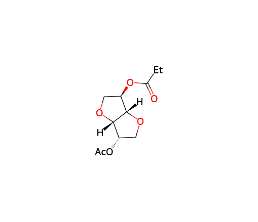 CCC(=O)O[C@@H]1CO[C@@H]2[C@H]1OC[C@@H]2OC(C)=O